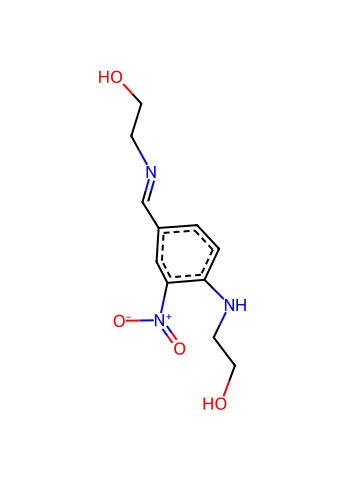 O=[N+]([O-])c1cc(C=NCCO)ccc1NCCO